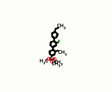 CCCc1ccc(-c2ccc(-c3ccc([Si](OC)(OC)OC)cc3CC)cc2F)cc1